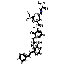 CN(C)C(=O)/C=C/CCC(OC(=O)N(C)C)C(=O)Nc1cccn(Cc2nc3c(CCc4ccccc4)ncnc3[nH]2)c1=O